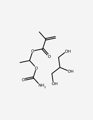 C=C(C)C(=O)OC(C)OC(N)=O.OCC(O)CO